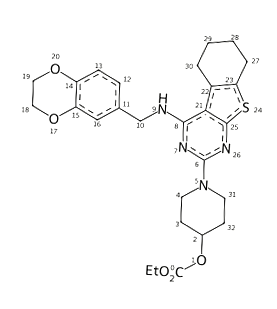 CCOC(=O)OC1CCN(c2nc(NCc3ccc4c(c3)OCCO4)c3c4c(sc3n2)CCCC4)CC1